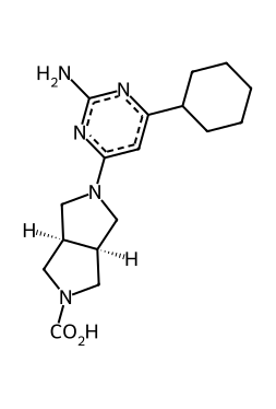 Nc1nc(C2CCCCC2)cc(N2C[C@H]3CN(C(=O)O)C[C@H]3C2)n1